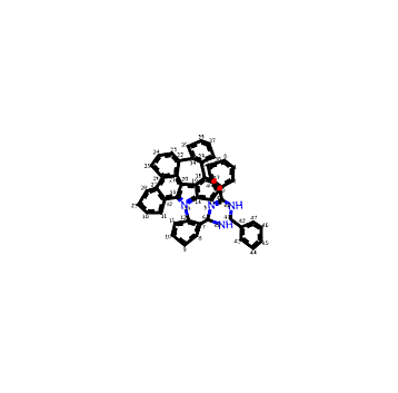 c1ccc(C2=NC(c3ccccc3-n3c4cccc5c4c4c6c(cccc6c6ccccc6c43)-c3ccccc3-5)NC(c3ccccc3)N2)cc1